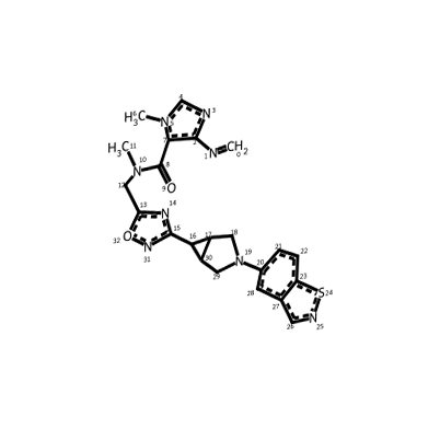 C=Nc1ncn(C)c1C(=O)N(C)Cc1nc(C2C3CN(c4ccc5sncc5c4)CC32)no1